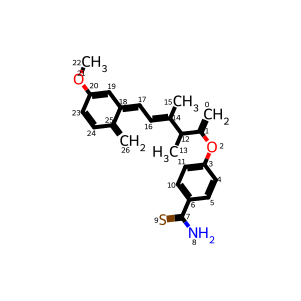 C=C(Oc1ccc(C(N)=S)cc1)C(C)/C(C)=C/C=c1/cc(OC)ccc1=C